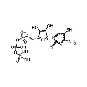 Nc1nc(=O)n([C@@H]2O[C@H](COP(=O)(O)OP(=O)(O)OP(=O)(O)O)C(O)C2O)cc1S